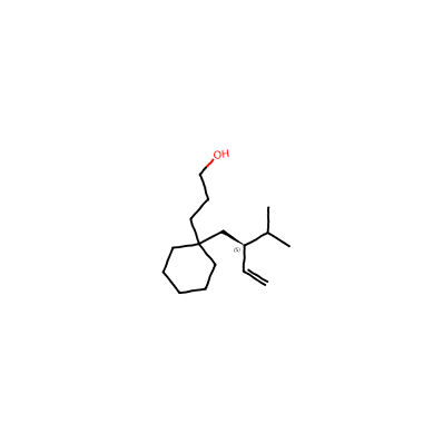 C=C[C@@H](CC1(CCCO)CCCCC1)C(C)C